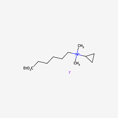 CCOC(=O)CCCCC[N+](C)(C)C1CC1.[I-]